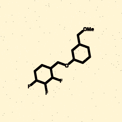 COCC1CCCC(OCC2CCC(F)C(F)C2F)C1